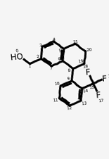 OCc1ccc2c(c1)C(c1ccccc1C(F)(F)F)CCC2